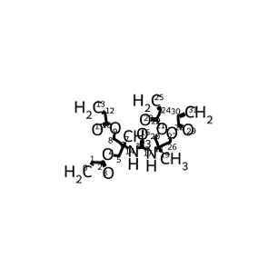 C=CC(=O)OCC(C)(COC(=O)C=C)NC(=O)NC(C)(COC(=O)C=C)COC(=O)C=C